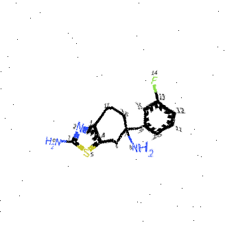 Nc1nc2c(s1)CC(N)(c1cccc(F)c1)CC2